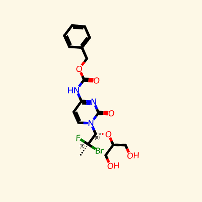 C[C@@](F)(Br)[C@@H](OC(CO)CO)n1ccc(NC(=O)OCc2ccccc2)nc1=O